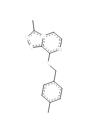 Cc1ccc(CNc2nccn3c(C)nnc23)cc1